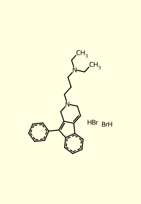 Br.Br.CCN(CC)CCCN1CC=C2C(=C(c3ccccc3)c3ccccc32)C1